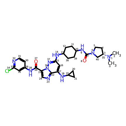 CN(C)[C@H]1CCN(C(=O)NC2CCC(Nc3cc(NC4CC4)c4ncc(C(=O)Nc5ccnc(Cl)c5)n4n3)CC2)C1